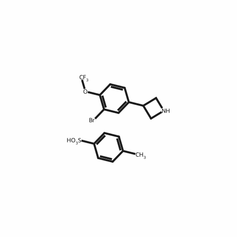 Cc1ccc(S(=O)(=O)O)cc1.FC(F)(F)Oc1ccc(C2CNC2)cc1Br